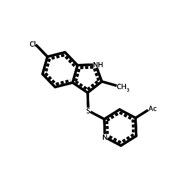 CC(=O)c1ccnc(Sc2c(C)[nH]c3cc(Cl)ccc23)c1